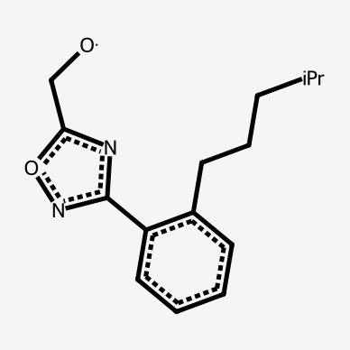 CC(C)CCCc1ccccc1-c1noc(C[O])n1